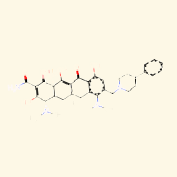 B=C1C(C(N)=O)=C(O)[C@@H](N(C)C)[C@@H]2C[C@@H]3Cc4c(c(O)cc(CN5CCC(c6ccccc6)CC5)c4N(C)C)C(=O)C3=C(O)[C@]12P